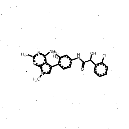 Cc1nc(N)c2c(-c3ccc(NC(=O)C(O)c4ccccc4Cl)cc3C)cn(C)c2n1